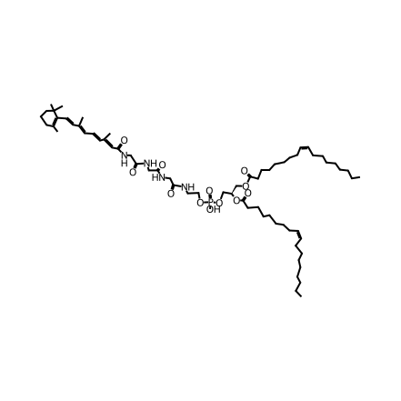 CCCCCCCC/C=C\CCCCCCCC(=O)OC[C@H](COP(=O)(O)OCCNC(=O)CNC(=O)CNC(=O)CNC(=O)/C=C(C)/C=C/C=C(C)/C=C/C1=C(C)CCCC1(C)C)OC(=O)CCCCCCC/C=C\CCCCCCCC